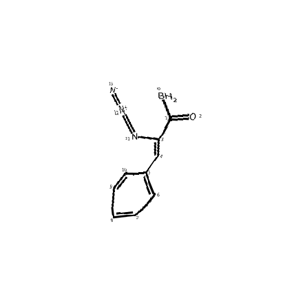 BC(=O)/C(=C/c1ccccc1)N=[N+]=[N-]